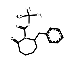 CC(C)(C)OC(=O)N1C(=O)CCCCC1Cc1ccccc1